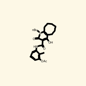 CCCCn1c2c(c(O)c(C(=O)Nc3cccc(OC(C)=O)c3C)c1=O)CCCCCC2